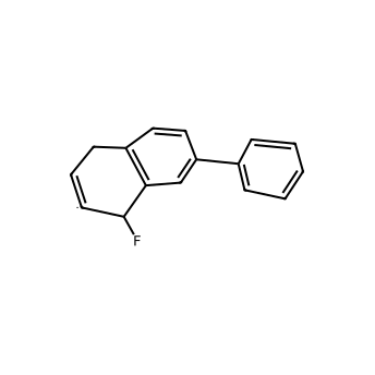 FC1[C]=CCc2ccc(-c3ccccc3)cc21